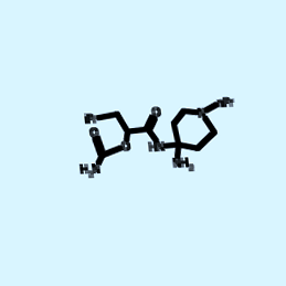 CCCN1CCC(N)(NC(=O)C(CC(C)C)OC(N)=O)CC1